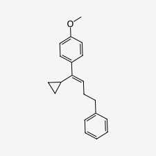 COc1ccc(C(=CCCc2ccccc2)C2CC2)cc1